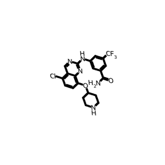 NC(=O)c1cc(Nc2ncc3c(Cl)ccc(OC4CCNCC4)c3n2)cc(C(F)(F)F)c1